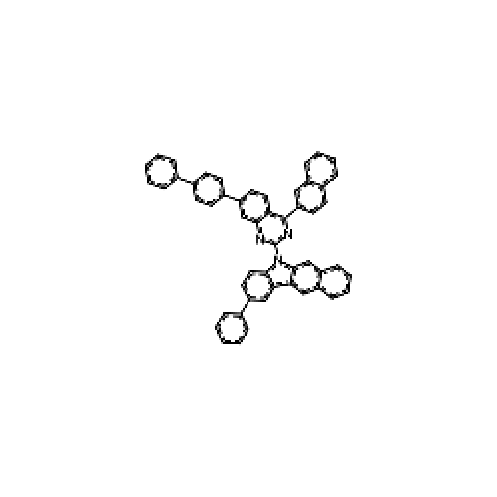 c1ccc(-c2ccc(-c3ccc4c(-c5ccc6ccccc6c5)nc(-n5c6ccc(-c7ccccc7)cc6c6cc7ccccc7cc65)nc4c3)cc2)cc1